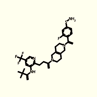 C=C(CCc1ncc(C(F)(F)F)cc1NC(=C)C(C)(C)C)N1CCC2=C(CCN(C(=C)c3ccc(SN)cc3F)C2)C1